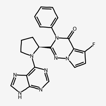 O=c1c2c(F)ccn2nc([C@@H]2CCCN2c2ncnc3[nH]cnc23)n1-c1ccccc1